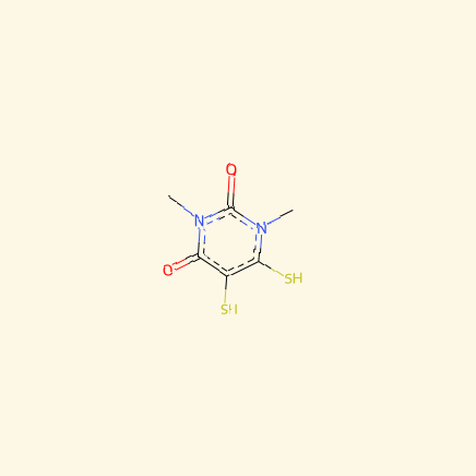 Cn1c(S)c(S)c(=O)n(C)c1=O